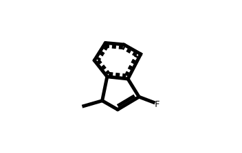 CC1C=C(F)c2ccccc21